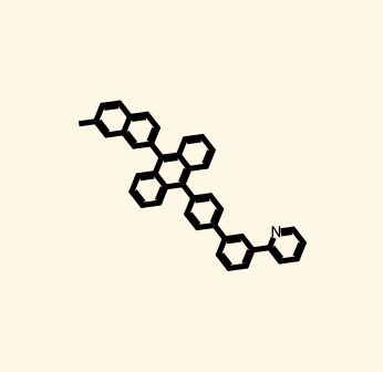 Cc1ccc2ccc(-c3c4ccccc4c(-c4ccc(-c5cccc(-c6ccccn6)c5)cc4)c4ccccc34)cc2c1